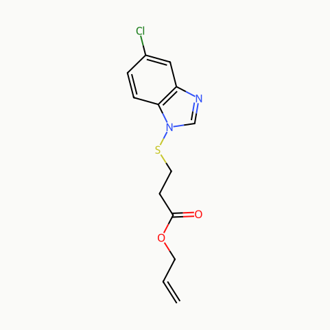 C=CCOC(=O)CCSn1cnc2cc(Cl)ccc21